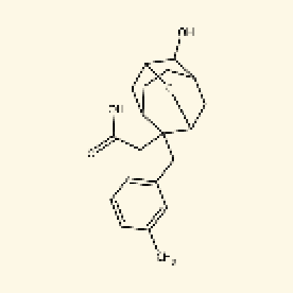 Cc1cccc(CC2(CC(=O)O)C3CCC4CC2CC(C3)C4O)c1